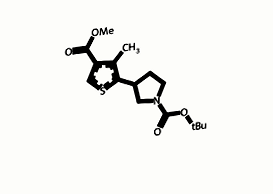 COC(=O)c1csc(C2CCN(C(=O)OC(C)(C)C)C2)c1C